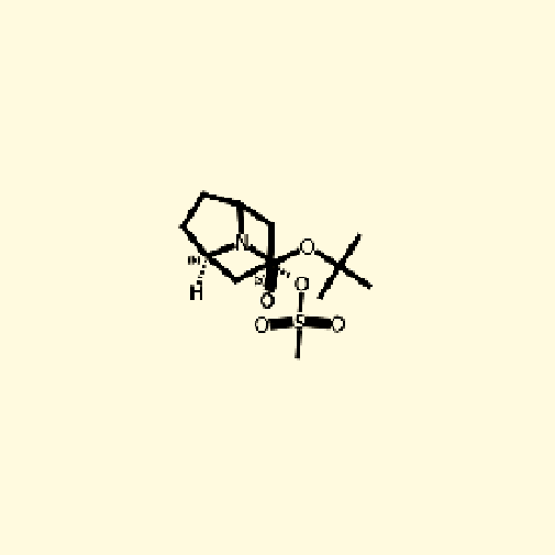 CC(C)(C)OC(=O)N1C2CC[C@@H]1C[C@@H](OS(C)(=O)=O)C2